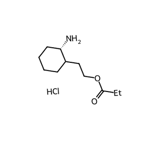 CCC(=O)OCCC1CCCC[C@@H]1N.Cl